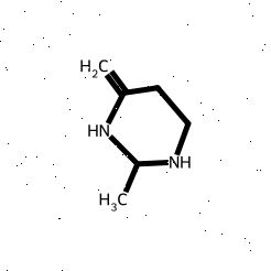 C=C1CCNC(C)N1